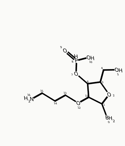 BC1OC(CO)C(O[PH](=O)O)C1OCCCN